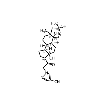 C[C@@]1(O)CC[C@]2(C)[C@H]3CC[C@]4(C)[C@@H](C(=O)Cn5cc(C#N)cn5)CC[C@H]4[C@@H]3CC[C@]2(C)C1